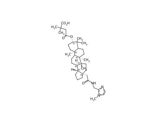 Cn1ccnc1CNC(=O)C[C@]12CCC[C@@H]1[C@H]1CCC3[C@@]4(C)CC[C@H](OC(=O)CC(C)(C)C(=O)O)C(C)(C)C4CC[C@@]3(C)[C@]1(C)CC2